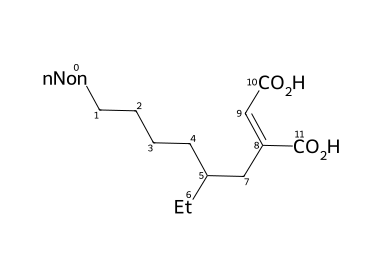 CCCCCCCCCCCCCC(CC)C/C(=C/C(=O)O)C(=O)O